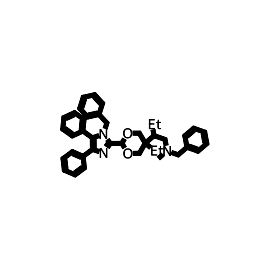 CCC(CN(C)Cc1ccccc1)C1(CC)COC(c2nc(-c3ccccc3)c(-c3ccccc3)n2Cc2ccccc2)OC1